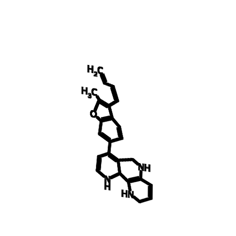 C=C/C=C\c1c(C)oc2cc(C3=C4CNC5=C(NCC=C5)C4NC=C3)ccc12